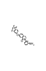 Nc1cccc(N2CCc3ccc(Oc4ccc(C(F)(F)F)c(F)c4)cc3C2=O)n1